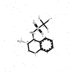 C[C@H]1CSc2ccccc2[C@@H]1NS(=O)(=O)C(F)(F)F